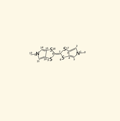 Cn1cc2c(c1)SC(=C1Sc3cn(C)cc3S1)S2